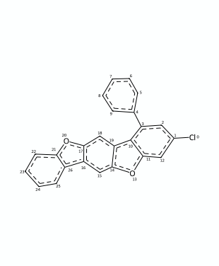 Clc1cc(-c2ccccc2)c2c(c1)oc1cc3c(cc12)oc1ccccc13